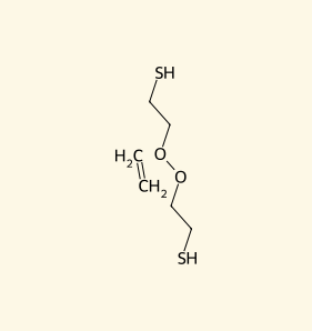 C=C.SCCOOCCS